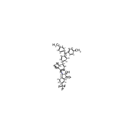 Cc1ccc(N(c2ccc(C)cc2)c2ccc(-c3cnc(/N=C4/c5ccc(C(F)(F)F)cc5C(=O)C4O)c4nsnc34)cc2)cc1